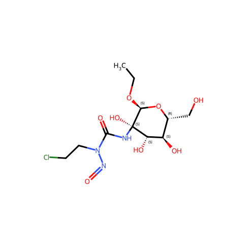 CCO[C@H]1O[C@H](CO)[C@@H](O)[C@H](O)[C@@]1(O)NC(=O)N(CCCl)N=O